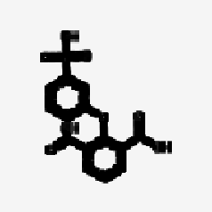 O=C(O)c1cccc(C(=O)O)c1Oc1cccc(S(=O)(=O)O)c1